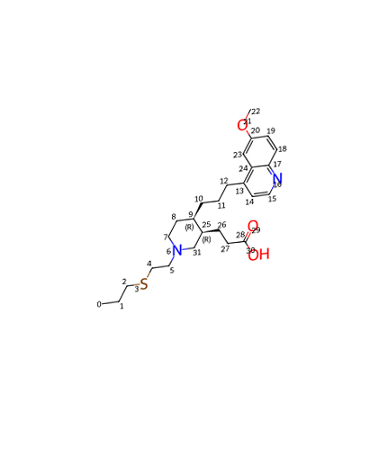 CCCSCCN1CC[C@@H](CCCc2ccnc3ccc(OC)cc23)[C@@H](CCC(=O)O)C1